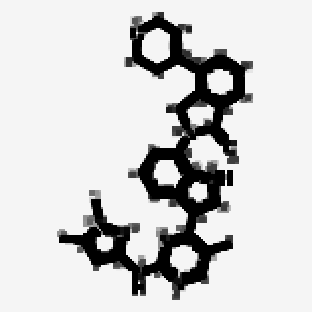 Cc1cnc(Nc2cc(C)n(C)n2)nc1-c1c[nH]c2c(N3Cc4c(cccc4C4=CCOCC4)C3=O)cccc12